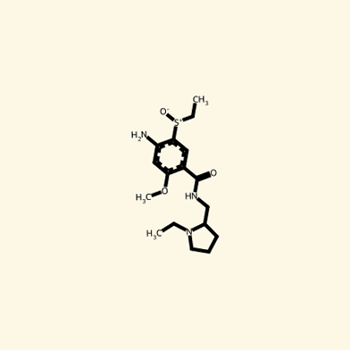 CCN1CCCC1CNC(=O)c1cc([S+]([O-])CC)c(N)cc1OC